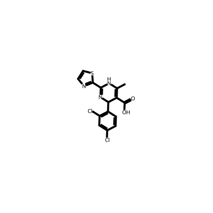 CC1=C(C(=O)O)C(c2ccc(Cl)cc2Cl)N=C(c2nccs2)N1